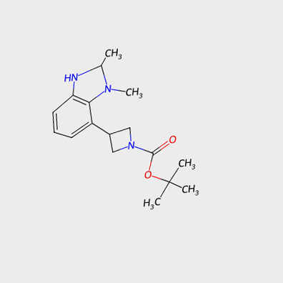 CC1Nc2cccc(C3CN(C(=O)OC(C)(C)C)C3)c2N1C